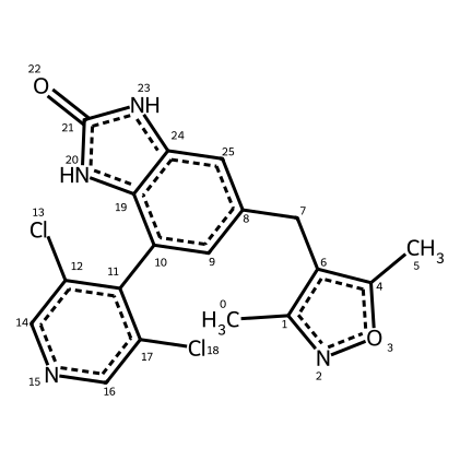 Cc1noc(C)c1Cc1cc(-c2c(Cl)cncc2Cl)c2[nH]c(=O)[nH]c2c1